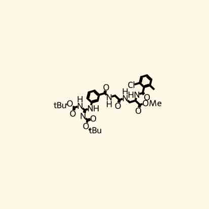 COC(=O)C(CNC(=O)CNC(=O)c1cccc(N/C(=N\C(=O)OC(C)(C)C)NC(=O)OC(C)(C)C)c1)NC(=O)c1c(C)cccc1Cl